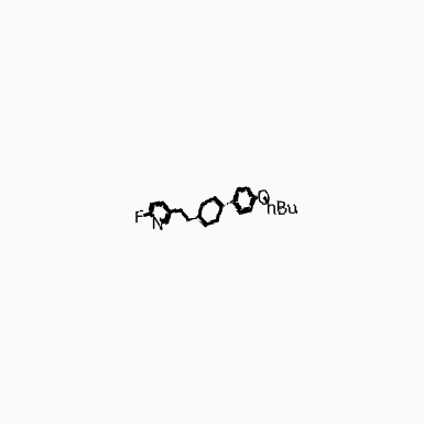 CCCCOc1ccc([C@H]2CC[C@H](CCc3ccc(F)nc3)CC2)cc1